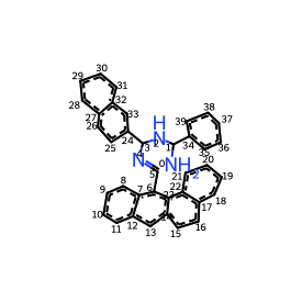 NC(NC(/N=C/c1c2ccccc2cc2ccc3ccccc3c12)c1ccc2ccccc2c1)c1ccccc1